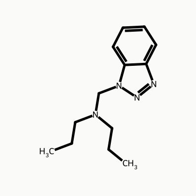 CCCN(CCC)Cn1nnc2ccccc21